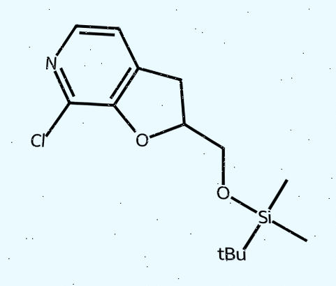 CC(C)(C)[Si](C)(C)OCC1Cc2ccnc(Cl)c2O1